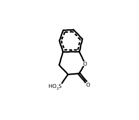 O=C1Oc2ccccc2CC1S(=O)(=O)O